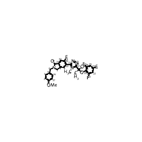 COc1ccc(CN2Cc3cc(-c4nnc(C(C)(C)Oc5c(F)cc(F)cc5F)n4C)c(F)cc3C2=O)cc1